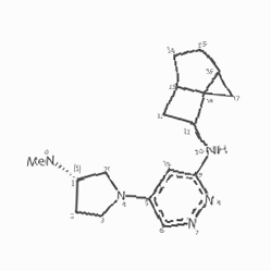 CN[C@H]1CCN(c2cnnc(NC3CC4CCC5CC453)c2)C1